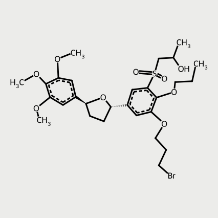 CCCOc1c(OCCCBr)cc([C@@H]2CC[C@@H](c3cc(OC)c(OC)c(OC)c3)O2)cc1S(=O)(=O)CC(C)O